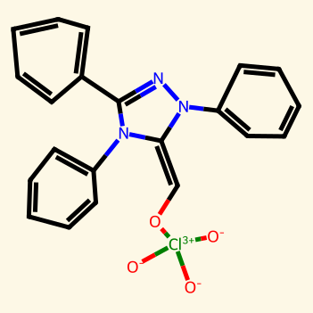 [O-][Cl+3]([O-])([O-])OC=C1N(c2ccccc2)N=C(c2ccccc2)N1c1ccccc1